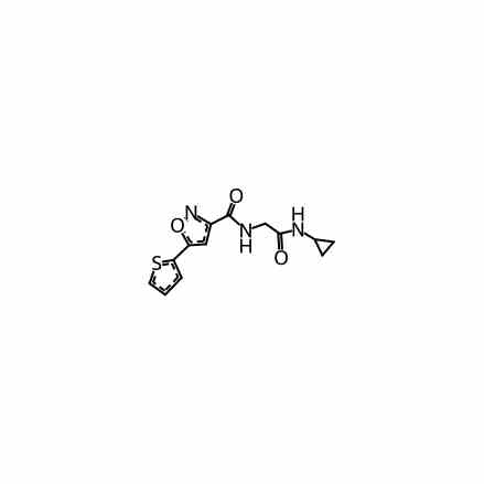 O=C(CNC(=O)c1cc(-c2cccs2)on1)NC1CC1